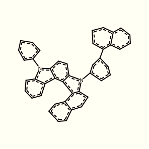 c1ccc(-n2c3ccccc3c3c4c5c6ccccc6ccc5n(-c5cccc(-c6cccc7ccccc67)c5)c4ccc32)cc1